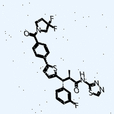 C[C@@H](C(=O)Nc1nncs1)[C@H](c1cccc(F)c1)c1ccc(-c2ccc(C(=O)N3CCC(F)(F)C3)cc2)s1